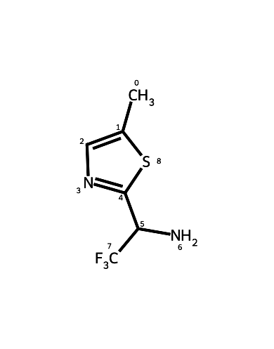 Cc1cnc(C(N)C(F)(F)F)s1